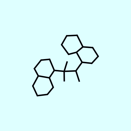 CC(C1CCCC2CCCCC21)C(C)(C)C1CCCC2CCCCC21